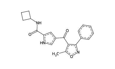 Cc1onc(-c2ccccc2)c1C(=O)c1c[nH]c(C(=O)NC2CCC2)c1